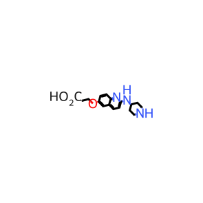 O=C(O)CCOc1ccc2nc(NC3CCNCC3)ccc2c1